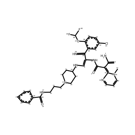 C=C(N)/C(C(=O)N/C(=C/NC1CCN(CCCNC(=O)c2ccccc2)CC1)C(=N)c1cc(Cl)ccc1OC(F)F)=C1/N=CC=CN1C